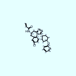 C=CC(=O)N[C@H]1Cc2cc(Cl)ccc2-n2c(nnc2[C@H]2CC[C@H](Oc3ccccn3)CC2)C1